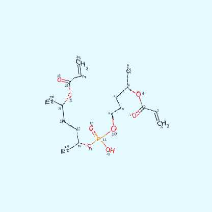 C=CC(=O)OC(CC)CCCOP(=O)(O)OC(CC)CCC(CC)OC(=O)C=C